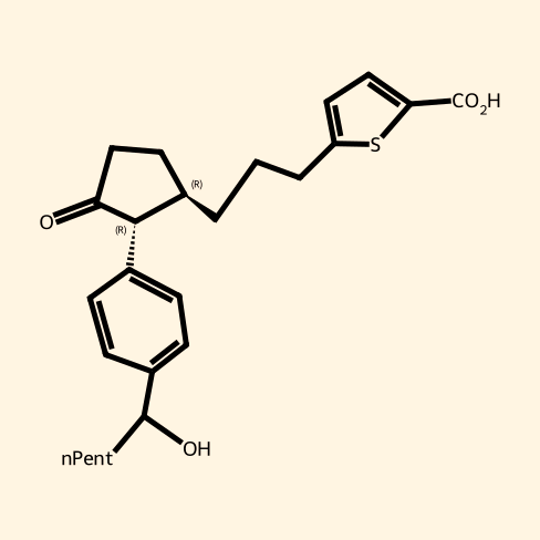 CCCCCC(O)c1ccc([C@@H]2C(=O)CC[C@H]2CCCc2ccc(C(=O)O)s2)cc1